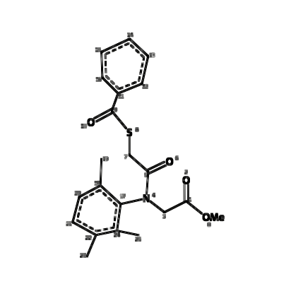 COC(=O)CN(C(=O)CSC(=O)c1ccccc1)c1c(C)ccc(C)c1C